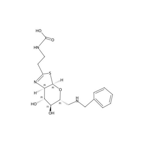 O=C(O)NCCC1=N[C@@H]2[C@@H](O)[C@H](O)[C@@H](CNCc3ccccc3)O[C@@H]2S1